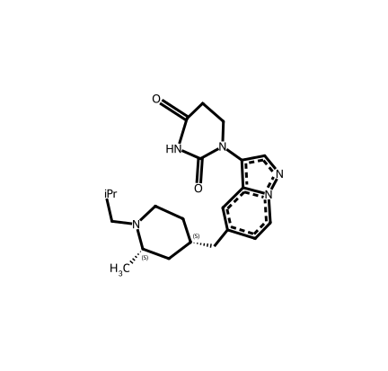 CC(C)CN1CC[C@H](Cc2ccn3ncc(N4CCC(=O)NC4=O)c3c2)C[C@@H]1C